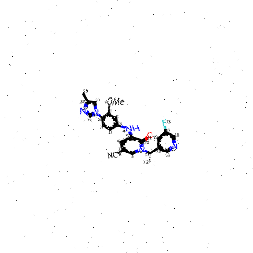 COc1cc(Nc2cc(C#N)cn([C@@H](C)c3cncc(F)c3)c2=O)ccc1-n1cnc(C)c1